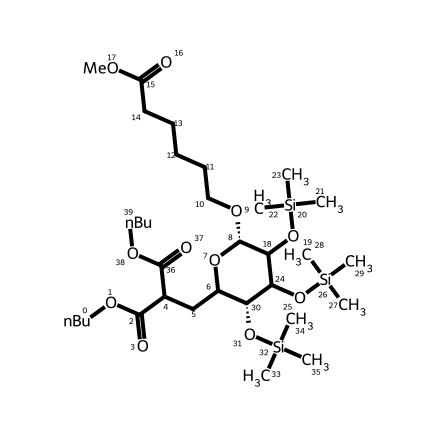 CCCCOC(=O)C(CC1O[C@H](OCCCCCC(=O)OC)C(O[Si](C)(C)C)C(O[Si](C)(C)C)[C@@H]1O[Si](C)(C)C)C(=O)OCCCC